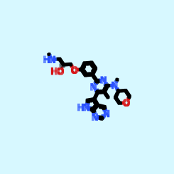 CNC[C@@H](O)COc1cccc(-c2nc(-c3c[nH]c4ncncc34)c(C)c(N(C)C3CCOCC3)n2)c1